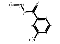 NNOC(=O)c1cccc(N)c1